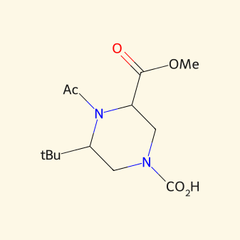 COC(=O)C1CN(C(=O)O)CC(C(C)(C)C)N1C(C)=O